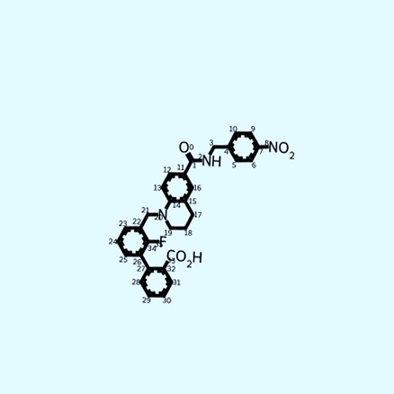 O=C(NCc1ccc([N+](=O)[O-])cc1)c1ccc2c(c1)CCCN2Cc1cccc(-c2ccccc2C(=O)O)c1F